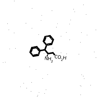 N[C@H](CC(=O)O)C(C1=C=C=CC=C1)c1ccccc1